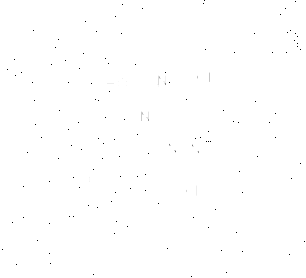 Oc1nc(O)c2cnn(-c3cc(Cl)ccc3Cl)c2n1